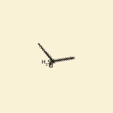 CCCCCCCCCCCCCCCCCCN([SiH2]CCCl)C(C)CCCCCCCCCCCCCCCCC